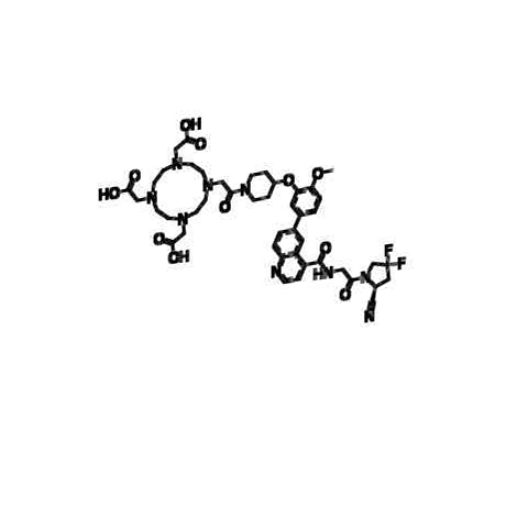 COc1ccc(-c2ccc3nccc(C(=O)NCC(=O)N4CC(F)(F)C[C@H]4C#N)c3c2)cc1OC1CCN(C(=O)CN2CCN(CC(=O)O)CCN(CC(=O)O)CCN(CC(=O)O)CC2)CC1